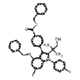 CC(C)(CO)c1c(-c2ccc(C(=O)OCc3ccccc3)cc2)c2c(OCc3ccccc3)cc(F)cc2n1-c1ccc(F)cc1